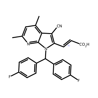 Cc1cc(C)c2c(C#N)c(/C=C/C(=O)O)n(C(c3ccc(F)cc3)c3ccc(F)cc3)c2n1